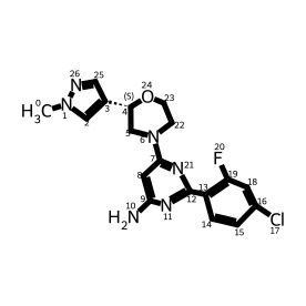 Cn1cc([C@H]2CN(c3cc(N)nc(-c4ccc(Cl)cc4F)n3)CCO2)cn1